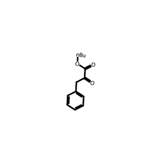 CCCCOC(=O)C(=O)Cc1ccccc1